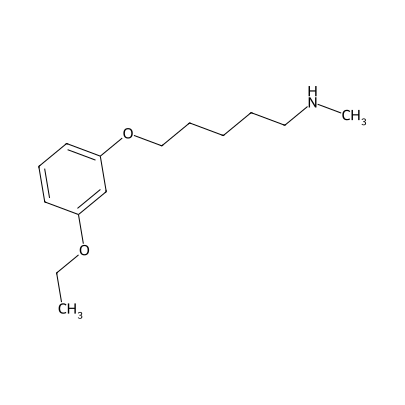 CCOc1cccc(OCCCCCNC)c1